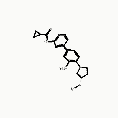 CO[C@H]1CCN(c2ccc(-c3ccnc(NC(=O)C4CC4)c3)cc2C)C1